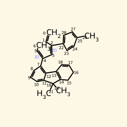 C=C/C(=C\C(=C/C)c1cccc2c1C1=C(CCC=C1)C2(C)C)c1ccc(C)cc1